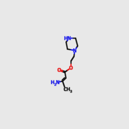 CC(N)=CC(=O)OCCN1CCNCC1